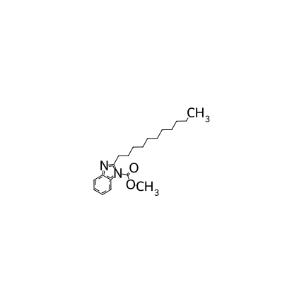 CCCCCCCCCCCc1nc2ccccc2n1C(=O)OC